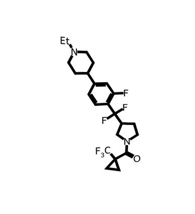 CCN1CCC(c2ccc(C(F)(F)C3CCN(C(=O)C4(C(F)(F)F)CC4)C3)c(F)c2)CC1